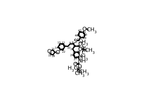 COc1ccc(CSC(CCc2cccc(OC3CCOC3)c2)C(Cc2ccc(NC(=O)OC(C)(C)C)nc2)C(=O)OC(C)(C)C)cc1